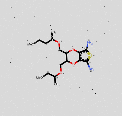 COCCC(C)OCC1Oc2c(N)sc(N)c2OC1COC(C)COC